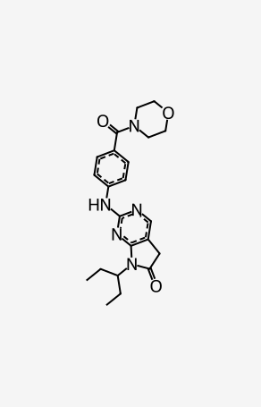 CCC(CC)N1C(=O)Cc2cnc(Nc3ccc(C(=O)N4CCOCC4)cc3)nc21